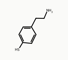 NCCc1ccc(S)cc1